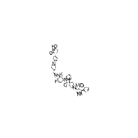 O=C1CC[C@H](c2ccc(N3CCC(CN4C[C@H]5CCC(NC(=O)C6(c7ccccc7)CCN(c7cnnc(-c8ccccc8O)c7)CC6)C[C@H]5C4)CC3)cc2)C(=O)N1